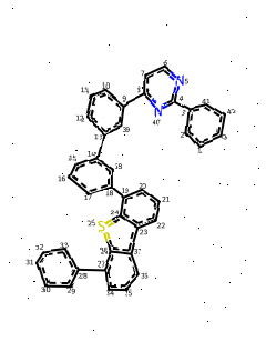 c1ccc(-c2nccc(-c3cccc(-c4cccc(-c5cccc6c5sc5c(-c7ccccc7)cccc56)c4)c3)n2)cc1